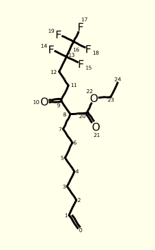 C=CCCCCCCC(C(=O)CCC(F)(F)C(F)(F)F)C(=O)OCC